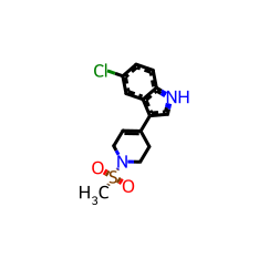 CS(=O)(=O)N1CC=C(c2c[nH]c3ccc(Cl)cc23)CC1